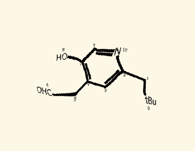 CC(C)(C)Cc1cc(CC=O)c(O)cn1